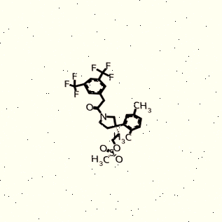 Cc1ccc(C)c([C@@]2(CCOS(C)(=O)=O)CCN(C(=O)Cc3cc(C(F)(F)F)cc(C(F)(F)F)c3)C2)c1